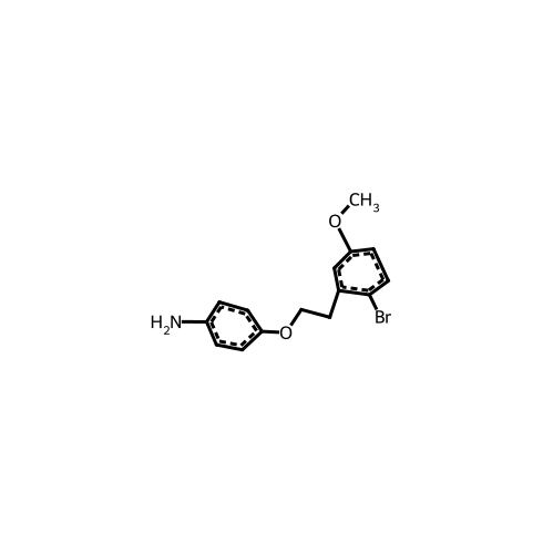 COc1ccc(Br)c(CCOc2ccc(N)cc2)c1